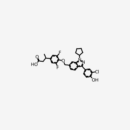 CC(CC(=O)O)c1cc(F)c(OCc2ccc3c(-c4ccc(O)c(Cl)c4)nn(C4CCCC4)c3c2)c(F)c1